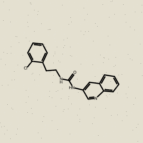 O=C(NCCc1ccccc1Cl)Nc1cnc2ccccc2c1